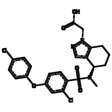 CN([C@@H]1CCCc2c1cnn2CC(=O)O)S(=O)(=O)c1ccc(Oc2ccc(Cl)cc2)cc1Cl